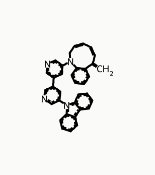 C=C1/C=C\C=C/CN(c2cncc(-c3cncc(-n4c5ccccc5c5ccccc54)c3)c2)c2ccccc21